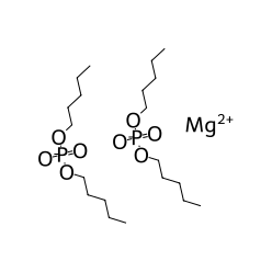 CCCCCOP(=O)([O-])OCCCCC.CCCCCOP(=O)([O-])OCCCCC.[Mg+2]